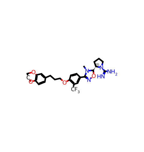 CN1C(c2ccc(OCCCc3ccc4c(c3)OCCO4)c(C(F)(F)F)c2)=NOC1[C@@H]1CCCN1C(=N)N